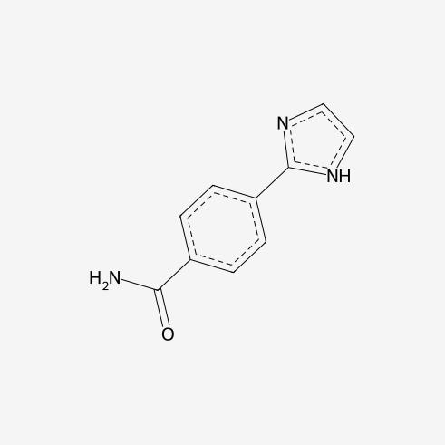 NC(=O)c1ccc(-c2ncc[nH]2)cc1